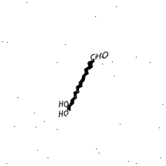 O=CCCCCCCCCCCCCCCCC(O)CO